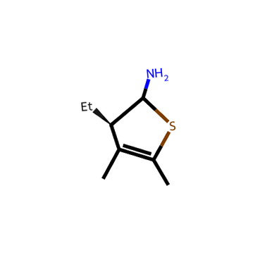 CC[C@@H]1C(C)=C(C)SC1N